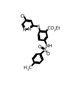 CCOC(=O)c1cc(NS(=O)(=O)c2ccc(C)cc2)ccc1Sc1cc(Cl)cnn1